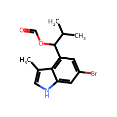 Cc1c[nH]c2cc(Br)cc(C(OC=O)C(C)C)c12